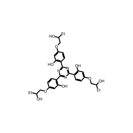 CCC(O)COc1ccc(-c2nc(-c3ccc(OCC(O)CC)cc3O)nc(-c3ccc(OCC(O)CC)cc3O)n2)c(O)c1